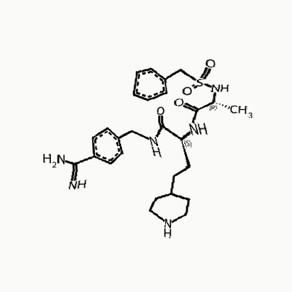 C[C@@H](NS(=O)(=O)Cc1ccccc1)C(=O)N[C@@H](CCC1CCNCC1)C(=O)NCc1ccc(C(=N)N)cc1